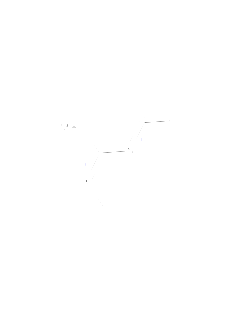 C/C=C(\N=C\Cl)OC